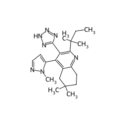 CCC(C)(C)c1nc2c(c(-c3ccnn3C)c1-c1nn[nH]n1)CC(C)(C)CC2